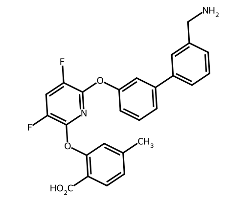 Cc1ccc(C(=O)O)c(Oc2nc(Oc3cccc(-c4cccc(CN)c4)c3)c(F)cc2F)c1